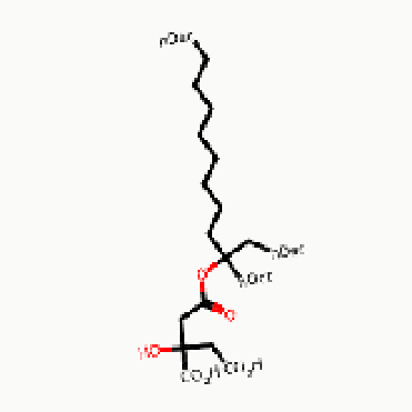 CCCCCCCCCCCCCCCCCCC(CCCCCCCC)(CCCCCCCCCCC)OC(=O)CC(O)(CC(=O)O)C(=O)O